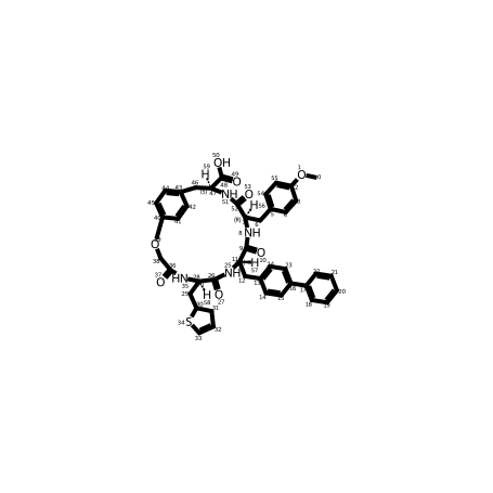 COc1ccc(C[C@H]2NC(=O)[C@H](Cc3ccc(-c4ccccc4)cc3)NC(=O)[C@@H](CC3CC=CS3)NC(=O)COc3ccc(cc3)C[C@@H](C(=O)O)NC2=O)cc1